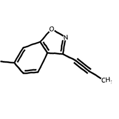 CC#Cc1noc2cc(F)ccc12